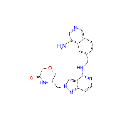 Nc1cncc2ccc(CNc3nccc4nn(CC5COCC(=O)N5)cc34)cc12